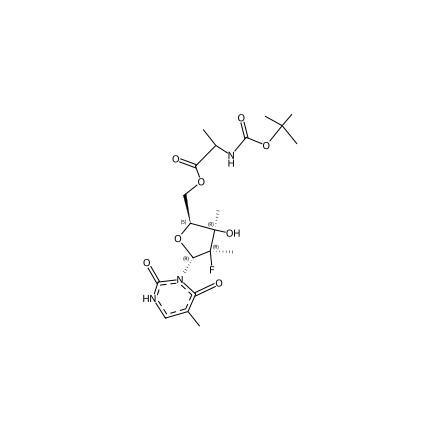 Cc1c[nH]c(=O)n([C@@H]2O[C@@H](COC(=O)C(C)NC(=O)OC(C)(C)C)[C@@](C)(O)[C@@]2(C)F)c1=O